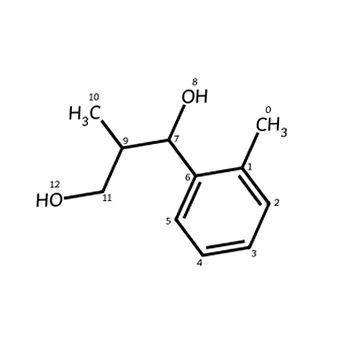 Cc1ccccc1C(O)C(C)CO